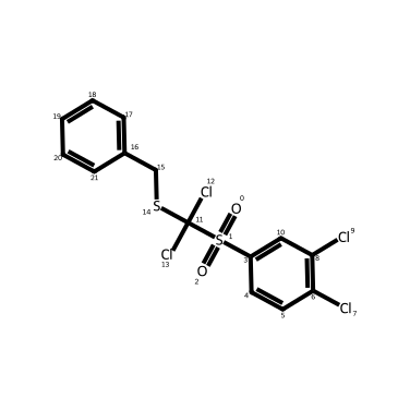 O=S(=O)(c1ccc(Cl)c(Cl)c1)C(Cl)(Cl)SCc1ccccc1